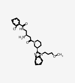 COCCCn1c([C@@H]2CCCN(C(=O)C[C@@H](N)CNC(=O)c3ccccc3Cl)C2)nc2ccccc21